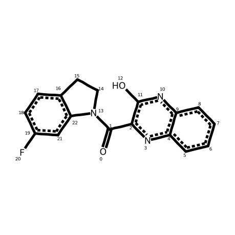 O=C(c1nc2ccccc2nc1O)N1CCc2ccc(F)cc21